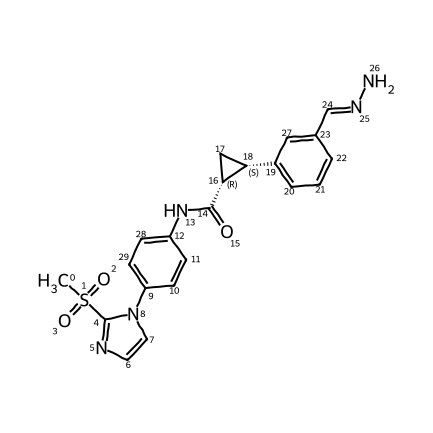 CS(=O)(=O)c1nccn1-c1ccc(NC(=O)[C@@H]2C[C@@H]2c2cccc(C=NN)c2)cc1